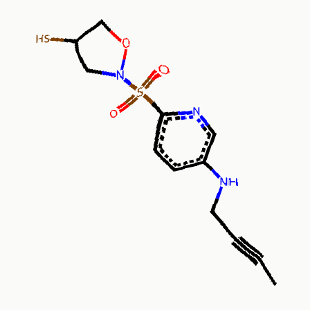 CC#CCNc1ccc(S(=O)(=O)N2CC(S)CO2)nc1